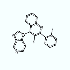 Cc1ccccc1-c1nc2ccccc2c(-n2cnc3cnccc32)c1F